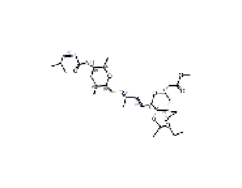 CCOC(C)O[C@@H]1[C@@H](/C=C/C(C)=C/C[C@@H]2O[C@H](C)[C@H](NC(=O)/C=C\C(C)C)C[C@@H]2C)O[C@H](CC(=O)OC)C[C@@]12CO2